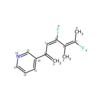 C=C(/C=C(F)\C(C)=C(/C)F)c1cccnc1